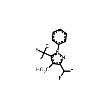 O=C(O)c1c(C(F)F)nn(-c2ccccc2)c1C(F)(F)Cl